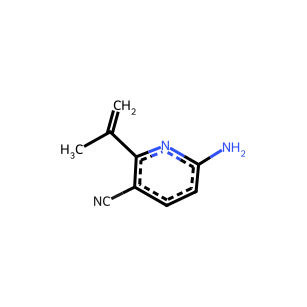 C=C(C)c1nc(N)ccc1C#N